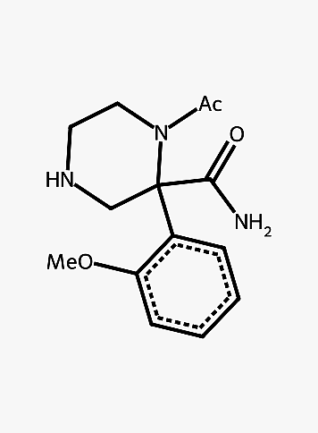 COc1ccccc1C1(C(N)=O)CNCCN1C(C)=O